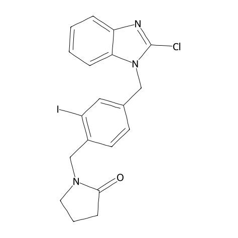 O=C1CCCN1Cc1ccc(Cn2c(Cl)nc3ccccc32)cc1I